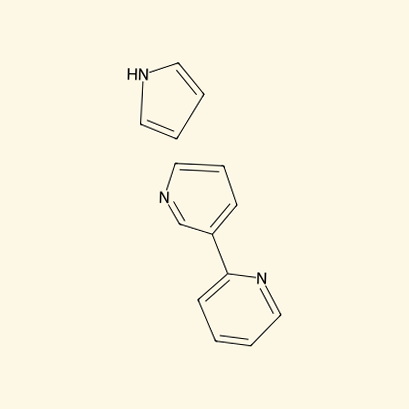 c1cc[nH]c1.c1ccc(-c2cccnc2)nc1